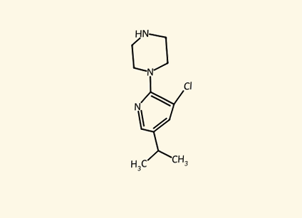 CC(C)c1cnc(N2CCNCC2)c(Cl)c1